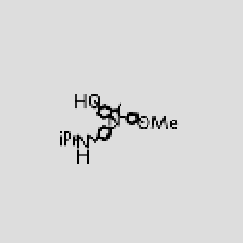 COc1ccc(-c2c(C)c3cc(O)ccc3n2Cc2ccc(CCNC(C)C)cc2)cc1